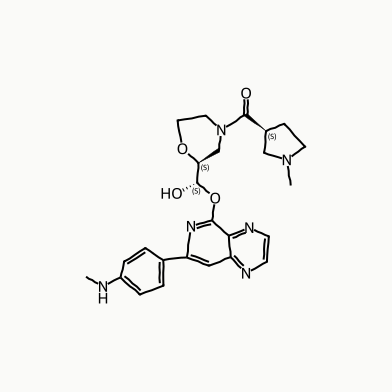 CNc1ccc(-c2cc3nccnc3c(O[C@H](O)[C@@H]3CN(C(=O)[C@H]4CCN(C)C4)CCO3)n2)cc1